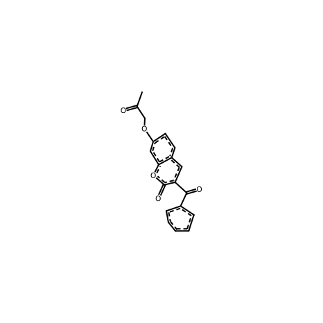 CC(=O)COc1ccc2cc(C(=O)c3ccccc3)c(=O)oc2c1